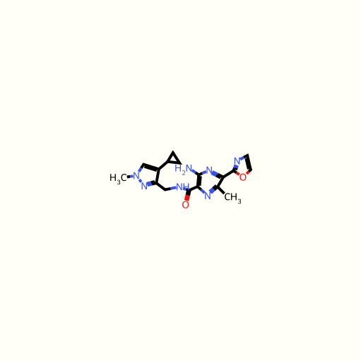 Cc1nc(C(=O)NCc2nn(C)cc2C2CC2)c(N)nc1-c1ncco1